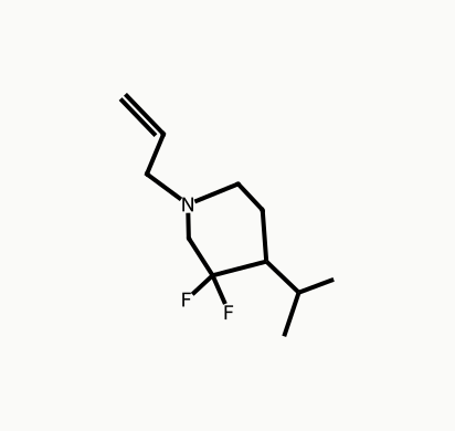 C=CCN1CCC(C(C)C)C(F)(F)C1